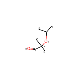 CC(C)OC(C)(C)C=O